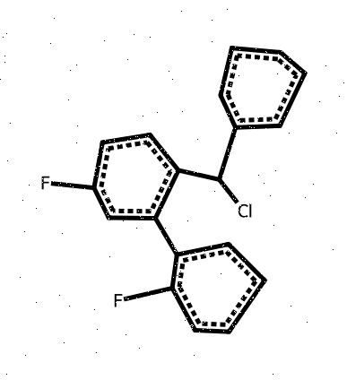 Fc1ccc(C(Cl)c2ccccc2)c(-c2ccccc2F)c1